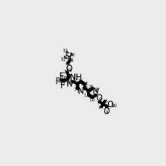 COC(=O)C(C)(C)COc1ccc(-c2ccc(-c3nc(C(F)(F)F)c(COCC[Si](C)(C)C)[nH]3)cn2)cn1